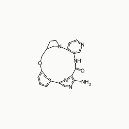 Nc1ncc2nc1C(=O)Nc1cnccc1N1CCC(COc3cccc-2c3)C1